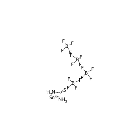 F[B-](F)(F)F.F[B-](F)(F)F.F[B-](F)(F)F.F[B-](F)(F)F.NC(N)=S.[Sn+4]